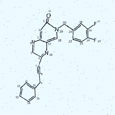 O=c1cc2ncc(C#CCc3ccccc3)nc2cn1Cc1ccc(F)c(F)c1